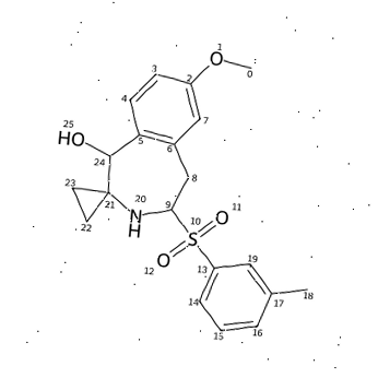 COc1ccc2c(c1)CC(S(=O)(=O)c1cccc(C)c1)NC1(CC1)C2O